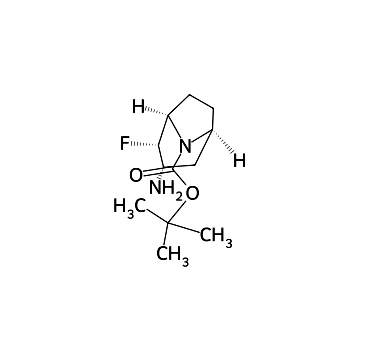 CC(C)(C)OC(=O)N1[C@H]2CC[C@@H]1[C@@H](F)[C@@H](N)C2